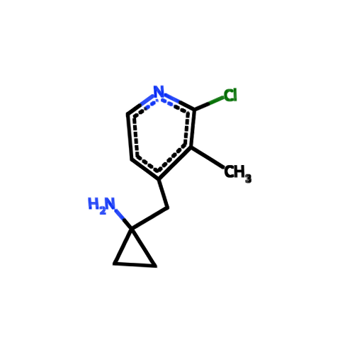 Cc1c(CC2(N)CC2)ccnc1Cl